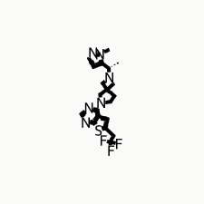 C[C@@H](c1ccnn1C)N1CC2(CCN(c3ncnc4sc(CC(F)(F)F)cc34)C2)C1